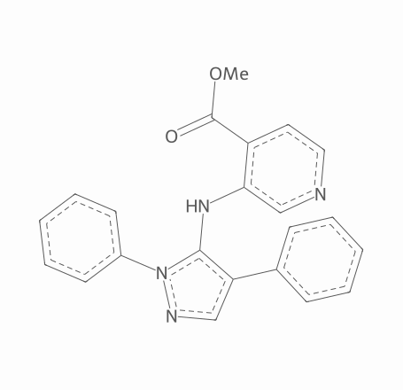 COC(=O)c1ccncc1Nc1c(-c2ccccc2)cnn1-c1ccccc1